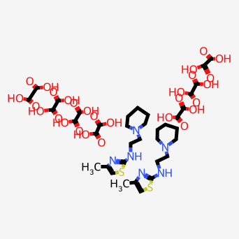 Cc1csc(NCCN2CCCCC2)n1.Cc1csc(NCCN2CCCCC2)n1.O=C(O)C(=O)O.O=C(O)C(=O)O.O=C(O)C(=O)O.O=C(O)C(=O)O.O=C(O)C(=O)O.O=C(O)C(=O)O.O=C(O)C(=O)O